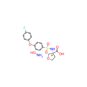 NO.O=C(O)[C@@]1(NS(=O)(=O)c2ccc(Oc3ccc(F)cc3)cc2)CCOC1